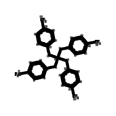 FC(F)(F)c1ccc(C[B-](Cc2ccc(C(F)(F)F)cc2)(Cc2ccc(C(F)(F)F)cc2)Cc2ccc(C(F)(F)F)cc2)cc1